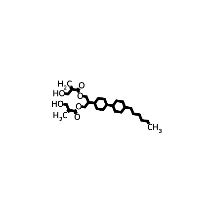 C=C(CO)C(=O)OCC(COC(=O)C(=C)CO)C1CCC(C2CCC(CCCCCC)CC2)CC1